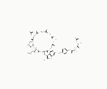 CCSc1[nH]c2cc(OCc3ccc(NC(=O)[C@H](C)NC(=O)[C@@H](NC(=O)CC)C(C)C)cc3)ccc2c1CC1NC(=O)[C@H]([C@@H](C)[C@@H](O)CO)N[C@@]2(C=O)C[C@@H](O)CN2C(=O)[C@H](CC(N)=O)NC(=O)CNC(=O)CNC(=O)[C@H]([C@@H](C)CC)NC(=O)CNC1=O